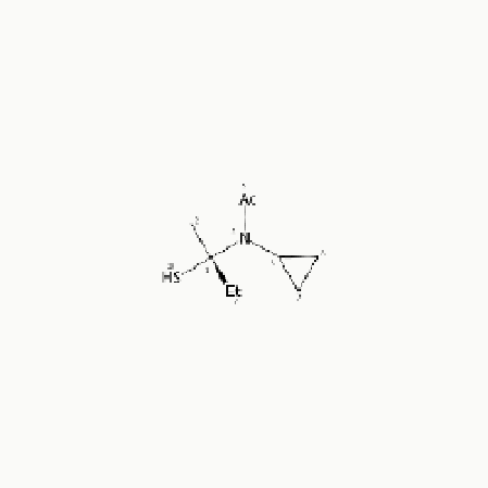 CC[C@](C)(S)N(C(C)=O)C1CC1